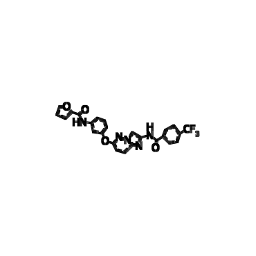 O=C(Nc1cn2nc(Oc3cccc(NC(=O)c4ccco4)c3)ccc2n1)c1ccc(C(F)(F)F)cc1